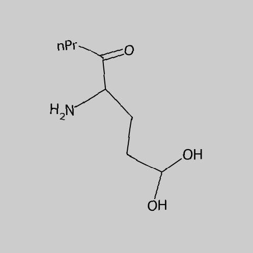 CCCC(=O)C(N)CCC(O)O